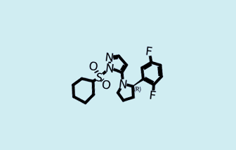 O=S(=O)(C1CCCCC1)n1nccc1N1CCC[C@@H]1c1cc(F)ccc1F